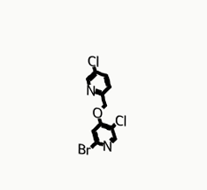 Clc1ccc(COc2cc(Br)ncc2Cl)nc1